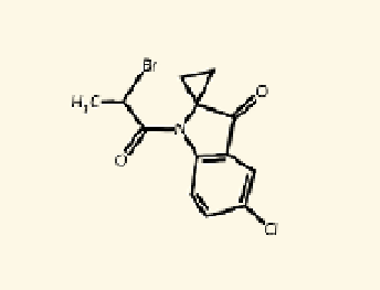 CC(Br)C(=O)N1c2ccc(Cl)cc2C(=O)C12CC2